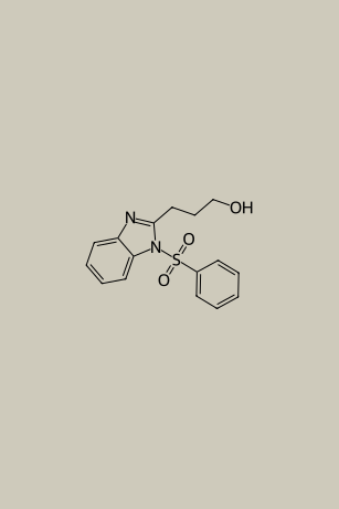 O=S(=O)(c1ccccc1)n1c(CCCO)nc2ccccc21